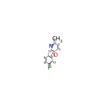 Cc1ccc(Oc2cc[c]c(F)c2)cn1